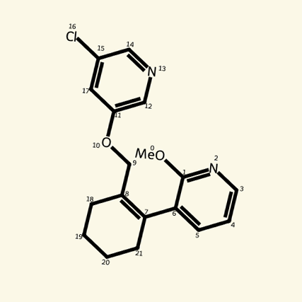 COc1ncccc1C1=C(COc2cncc(Cl)c2)CCCC1